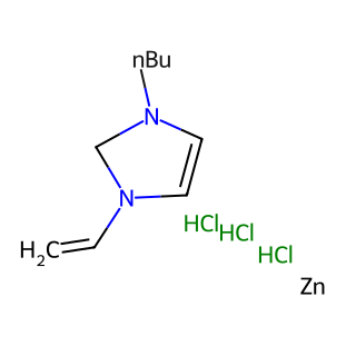 C=CN1C=CN(CCCC)C1.Cl.Cl.Cl.[Zn]